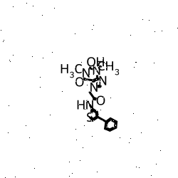 CN1C(=O)c2c(ncn2CC(=O)Nc2cc(-c3ccccc3)cs2)N(C)C1O